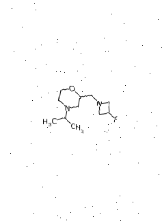 CC(C)N1CCOC(CN2CC(F)C2)C1